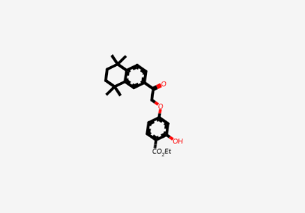 CCOC(=O)c1ccc(OCC(=O)c2ccc3c(c2)C(C)(C)CCC3(C)C)cc1O